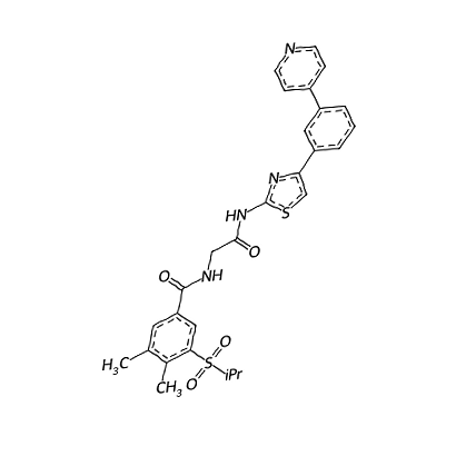 Cc1cc(C(=O)NCC(=O)Nc2nc(-c3cccc(-c4ccncc4)c3)cs2)cc(S(=O)(=O)C(C)C)c1C